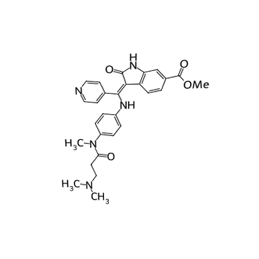 COC(=O)c1ccc2c(c1)NC(=O)C2=C(Nc1ccc(N(C)C(=O)CCN(C)C)cc1)c1ccncc1